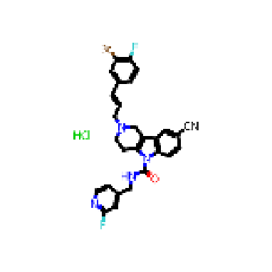 Cl.N#Cc1ccc2c(c1)c1c(n2C(=O)NCc2ccnc(F)c2)CCN(C/C=C/c2ccc(F)c(Br)c2)C1